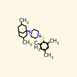 Cc1cc(C)c(SN2CCN(C34CC(C)CC(CC(C)C3)C4)CC2)c(C)c1